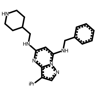 CC(C)c1cnn2c(NCc3ccccc3)cc(NCC3CCNCC3)nc12